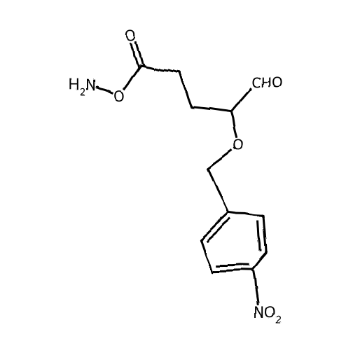 NOC(=O)CCC(C=O)OCc1ccc([N+](=O)[O-])cc1